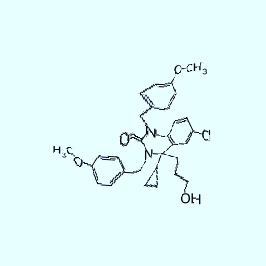 COc1ccc(CN2C(=O)N(Cc3ccc(OC)cc3)C(CCCO)(C3CC3)c3cc(Cl)ccc32)cc1